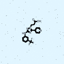 O=C(O)CCn1nc(Nc2cccc(C(F)(F)F)c2)nc1-c1ccncc1